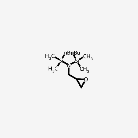 CCCC[Si](C)(C)N(CC1CO1)[Si](C)(C)CCCC